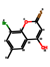 Cc1cc(Br)c2oc(=S)cc(O)c2c1